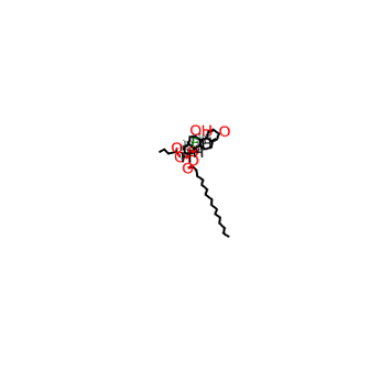 CCCCCCCCCCCCCCCC(=O)OCC(=O)[C@@]12OC(CCC)O[C@@H]1C[C@H]1[C@@H]3CCC4=CC(=O)C=C[C@]4(C)[C@@]3(F)[C@@H](O)C[C@@]12C